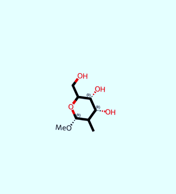 CO[C@@H]1OC(CO)[C@H](O)[C@H](O)C1C